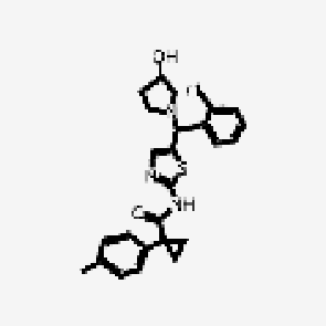 Cc1ccc(C2(C(=O)Nc3ncc(C(c4ccccc4Cl)N4CC[C@@H](O)C4)s3)CC2)cc1